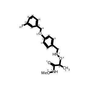 CONC(=O)C(C)ONCc1ccc(OCc2cccc(F)c2)cc1